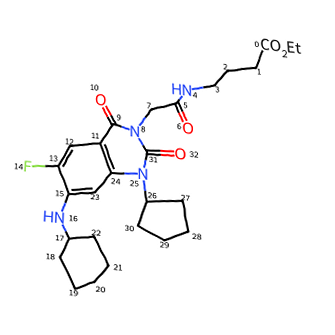 CCOC(=O)CCCNC(=O)Cn1c(=O)c2cc(F)c(NC3CCCCC3)cc2n(C2CCCC2)c1=O